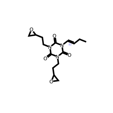 CC/C=C/n1c(=O)n(CCC2CO2)c(=O)n(CCC2CO2)c1=O